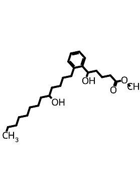 CCCCCCCCC(O)CCCCc1ccccc1C(O)CCCC(=O)OC